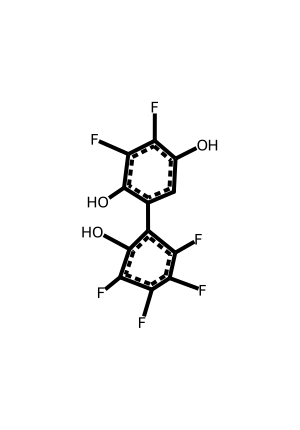 Oc1cc(-c2c(O)c(F)c(F)c(F)c2F)c(O)c(F)c1F